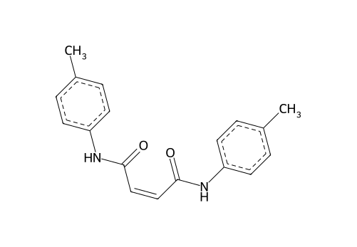 Cc1ccc(NC(=O)/C=C\C(=O)Nc2ccc(C)cc2)cc1